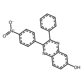 O=[N+]([O-])c1ccc(-c2nc3ccc(O)cc3nc2-c2ccccc2)cc1